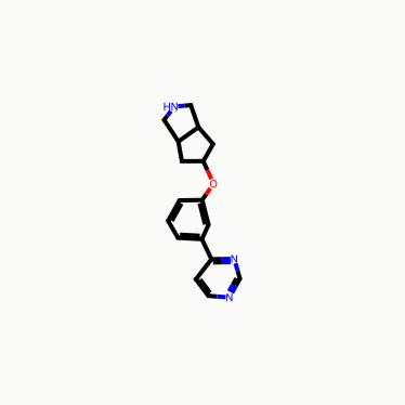 c1cc(OC2CC3CNCC3C2)cc(-c2ccncn2)c1